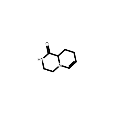 O=C1NCCN2C=CCCC12